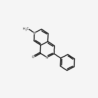 Cn1ccc2cc(-c3ccccc3)nc(=O)c-2c1